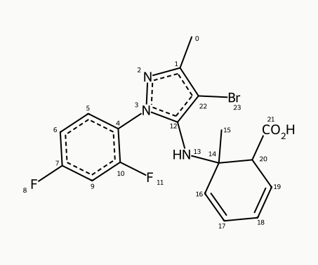 Cc1nn(-c2ccc(F)cc2F)c(NC2(C)C=CC=CC2C(=O)O)c1Br